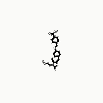 C=c1/c(=C\c2ccc(OCc3ccc(C(=O)O)cc3)cc2)sc(=S)n1CCOC